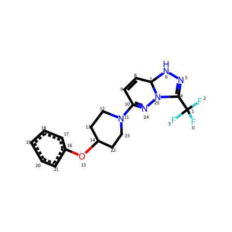 FC(F)(F)C1=NNC2C=CC(N3CCC(Oc4ccccc4)CC3)=NN12